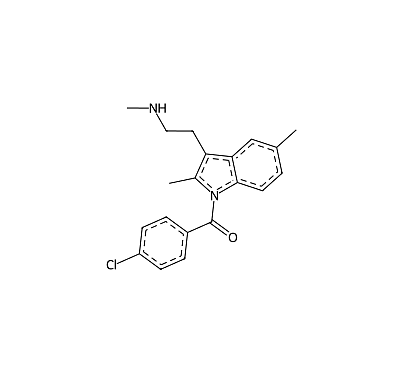 CNCCc1c(C)n(C(=O)c2ccc(Cl)cc2)c2ccc(C)cc12